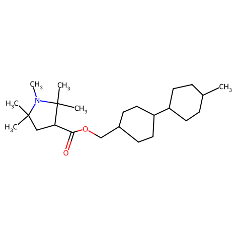 CC1CCC(C2CCC(COC(=O)C3CC(C)(C)N(C)C3(C)C)CC2)CC1